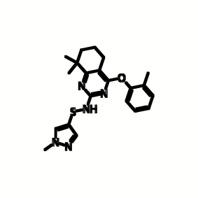 Cc1ccccc1Oc1nc(NSc2cnn(C)c2)nc2c1CCCC2(C)C